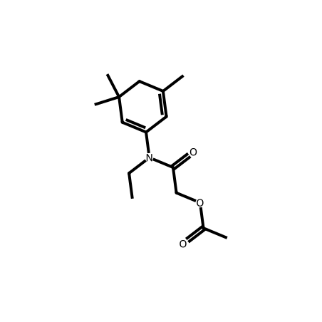 CCN(C(=O)COC(C)=O)C1=CC(C)(C)CC(C)=C1